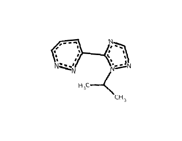 CC(C)n1ncnc1-c1cccnn1